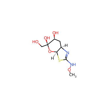 CONC1=N[C@@H]2C[C@H](O)[C@@](O)(CO)O[C@@H]2S1